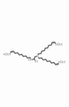 CCCCCCCC/C=C\CCCCCCCCNC(CC)CN(CCCCCCCC/C=C\CCCCCCCC)CCCCCCCC/C=C\CCCCCCCC